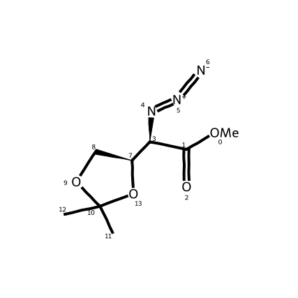 COC(=O)[C@H](N=[N+]=[N-])[C@@H]1COC(C)(C)O1